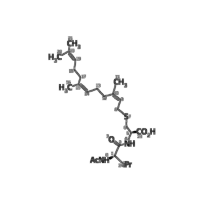 CC(=O)N[C@@H](C(=O)N[C@@H](CSCC=C(C)CCC=C(C)CCC=C(C)C)C(=O)O)C(C)C